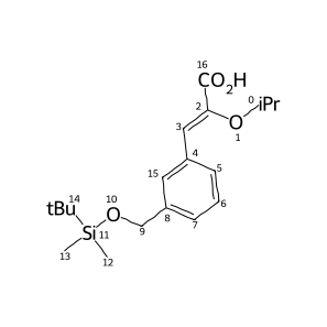 CC(C)OC(=Cc1cccc(CO[Si](C)(C)C(C)(C)C)c1)C(=O)O